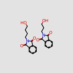 O=C1c2ccccc2C(=O)N1CCCCO.O=C1c2ccccc2C(=O)N1CCCO